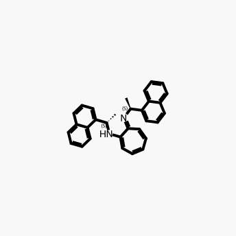 C[C@H](N=c1cccccc1N[C@@H](C)c1cccc2ccccc12)c1cccc2ccccc12